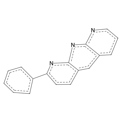 c1ccc(-c2ccc3cc4cccnc4nc3n2)cc1